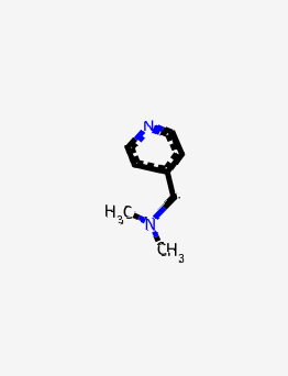 CN(C)[CH]c1ccncc1